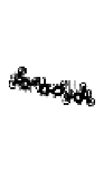 O=C(Nc1ccc(-c2ccc(NC(=O)c3ccc4c(c3)C(=O)OC4=O)c(O)c2)cc1O)c1ccc2c(c1)C(=O)OC2=O